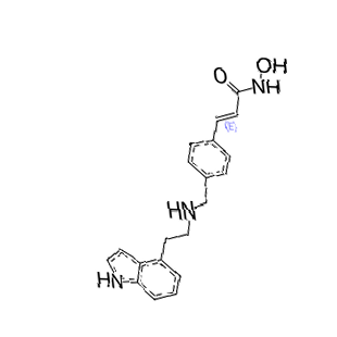 O=C(/C=C/c1ccc(CNCCc2cccc3[nH]ccc23)cc1)NO